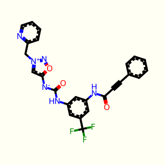 O=C(C#Cc1ccccc1)Nc1cc(NC(=O)[N-]c2c[n+](Cc3ccccn3)no2)cc(C(F)(F)F)c1